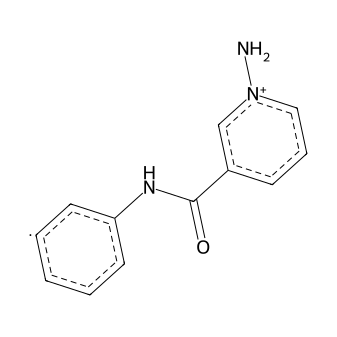 N[n+]1cccc(C(=O)Nc2c[c]ccc2)c1